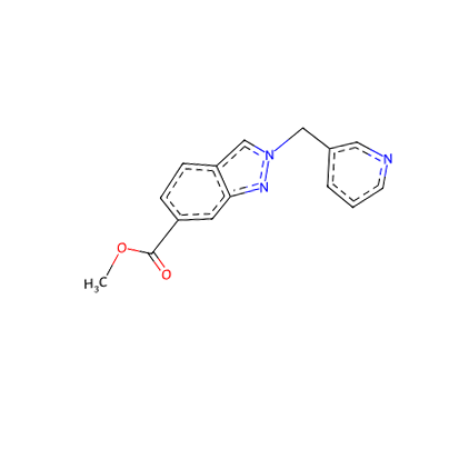 COC(=O)c1ccc2cn(Cc3cccnc3)nc2c1